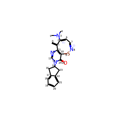 C=C1/C(N(C)C)=C\C=N/Sc2c1ncn(C1Cc3ccccc3C1)c2=O